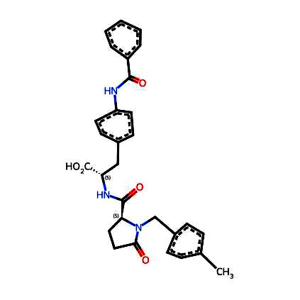 Cc1ccc(CN2C(=O)CC[C@H]2C(=O)N[C@@H](Cc2ccc(NC(=O)c3ccccc3)cc2)C(=O)O)cc1